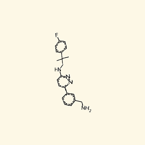 CC(C)(CNc1ccc(-c2cccc(CN)c2)nn1)c1ccc(F)cc1